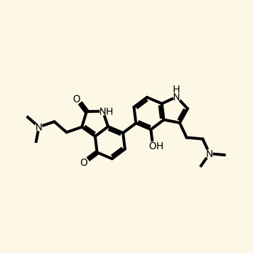 CN(C)CCC1=C2C(=O)C=CC(c3ccc4[nH]cc(CCN(C)C)c4c3O)=C2NC1=O